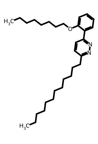 CCCCCCCCCCCCc1ccc(-c2ccccc2OCCCCCCCC)nn1